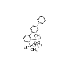 CCC(C)(C)c1cccc(-c2ccc(-c3ccccc3)cc2)c1C(C)(C)CC